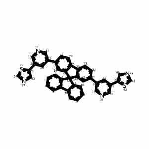 c1ccc2c(c1)-c1ccccc1C21c2cc(-c3cncc(-c4cncs4)c3)ccc2-c2ccc(-c3cncc(-c4cncs4)c3)cc21